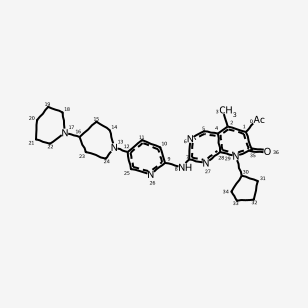 CC(=O)c1c(C)c2cnc(Nc3ccc(N4CCC(N5CCCCC5)CC4)cn3)nc2n(C2CCCC2)c1=O